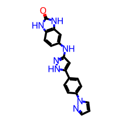 O=c1[nH]c2ccc(Nc3cc(-c4ccc(-n5cccn5)cc4)[nH]n3)cc2[nH]1